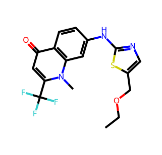 CCOCc1cnc(Nc2ccc3c(=O)cc(C(F)(F)F)n(C)c3c2)s1